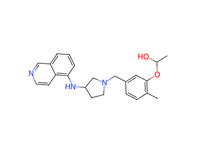 Cc1ccc(CN2CCC(Nc3cccc4cnccc34)C2)cc1OC(C)O